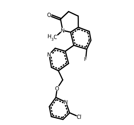 CN1C(=O)CCc2ccc(F)c(-c3cncc(COc4cccc(Cl)n4)c3)c21